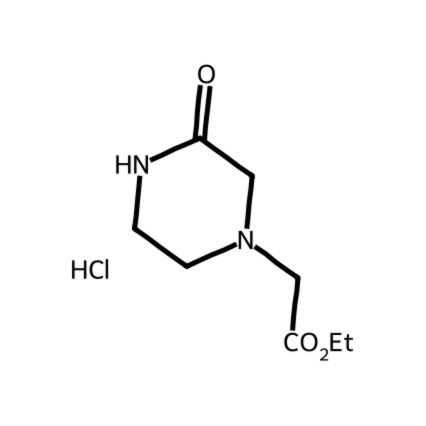 CCOC(=O)CN1CCNC(=O)C1.Cl